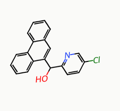 OC(c1ccc(Cl)cn1)c1cc2ccccc2c2ccccc12